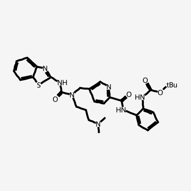 CN(C)CCCN(Cc1ccc(C(=O)Nc2ccccc2NC(=O)OC(C)(C)C)nc1)C(=O)Nc1nc2ccccc2s1